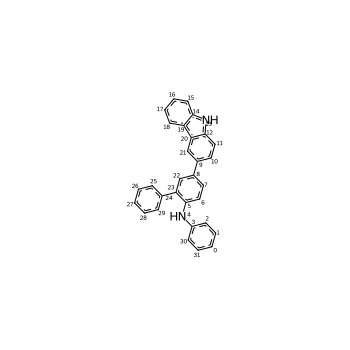 c1ccc(Nc2ccc(-c3ccc4[nH]c5ccccc5c4c3)cc2-c2ccccc2)cc1